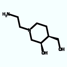 NCCN1CC[C@@H](CO)[C@@H](O)C1